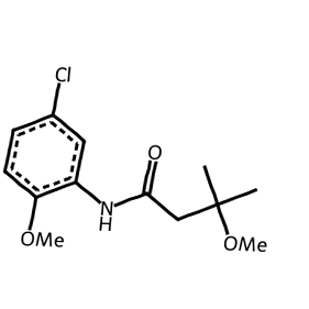 COc1ccc(Cl)cc1NC(=O)CC(C)(C)OC